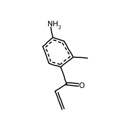 C=CC(=O)c1ccc(N)cc1C